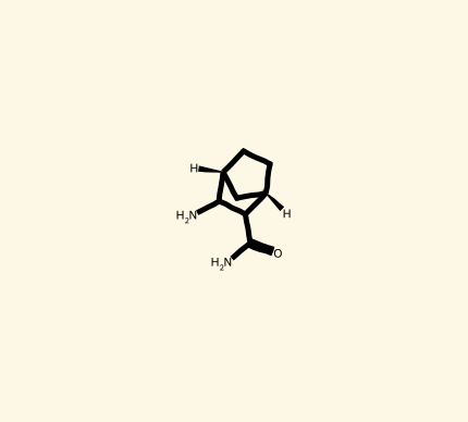 NC(=O)C1C(N)[C@@H]2CC[C@H]1C2